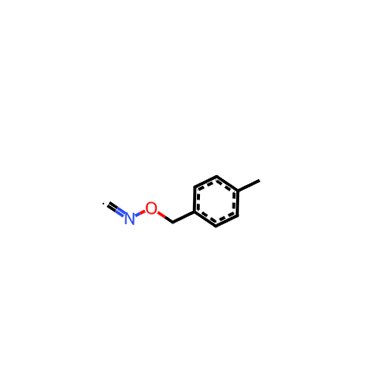 [CH]=NOCc1ccc(C)cc1